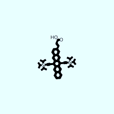 CC(C)[Si](C#Cc1c2cc3ccccc3cc2c(C#C[Si](C(C)C)(C(C)C)C(C)C)c2cc3cc(/C=C/C(=O)O)ccc3cc12)(C(C)C)C(C)C